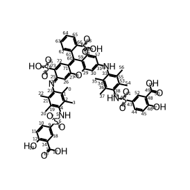 Cc1c(C)c(NS(=O)(=O)c2ccc(O)c(C(=O)O)c2)c(C)c(C)c1/N=c1\cc2oc3cc(Nc4c(C)c(C)c(NS(=O)(=O)c5ccc(O)c(C(=O)O)c5)c(C)c4C)ccc3c(-c3ccccc3S(=O)(=O)O)c-2cc1S(=O)(=O)O